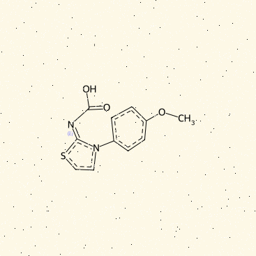 COc1ccc(-n2ccs/c2=N/C(=O)O)cc1